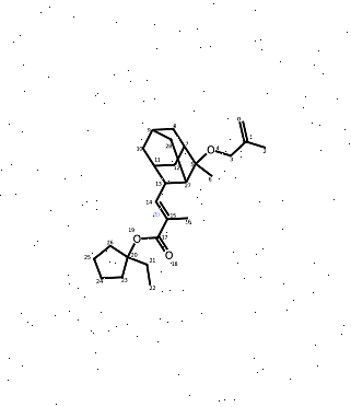 C=C(C)COC1(C)C2CC3CC(C2)C(/C=C(\C)C(=O)OC2(CC)CCCC2)C1C3